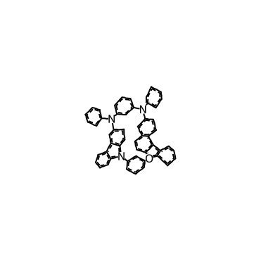 c1ccc(N(c2cccc(N(c3ccccc3)c3ccc4c(c3)c3ccccc3n4-c3ccccc3)c2)c2ccc3c(ccc4oc5ccccc5c43)c2)cc1